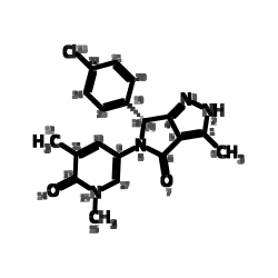 Cc1[nH]nc2c1C(=O)N(c1cc(C)c(=O)n(C)c1)[C@@H]2c1ccc(Cl)cc1